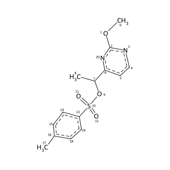 COc1nccc(C(C)OS(=O)(=O)c2ccc(C)cc2)n1